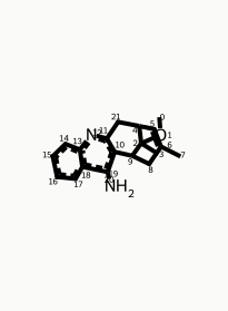 COC1(C)C2C=C(C)CC1c1c(nc3ccccc3c1N)C2